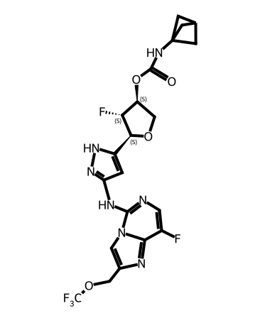 O=C(NC12CC(C1)C2)O[C@H]1CO[C@@H](c2cc(Nc3ncc(F)c4nc(COC(F)(F)F)cn34)n[nH]2)[C@@H]1F